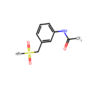 CCCS(=O)(=O)Cc1cccc(NC(=O)C(F)(F)F)c1